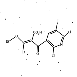 CCO/C(CC)=C(\C(=O)O)C(=O)c1cc(F)c(Cl)nc1Cl